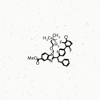 COC(=O)c1ccc2c(c1)nc(C(Cc1ccccc1)c1ccc(-c3c(F)ccc(Cl)c3F)cn1)n2COCC[Si](C)(C)C